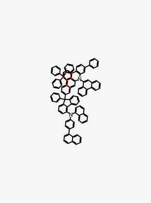 c1ccc(-c2ccc(-c3cccc(-c4ccc(C5(c6ccccc6)c6ccccc6-c6c(N(c7ccc(-c8cccc9ccccc89)cc7)c7cccc8ccccc78)cccc65)cc4)c3)c(N(c3cccc4c3-c3ccccc3C4(c3ccccc3)c3ccccc3)c3cc4ccccc4c4ccccc34)c2)cc1